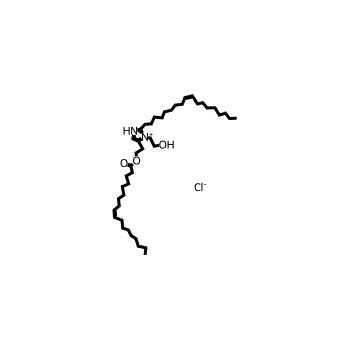 CCCCCCCC/C=C\CCCCCCCCc1[nH]cc(CCOC(=O)CCCCCCC/C=C\CCCCCCCC)[n+]1CCO.[Cl-]